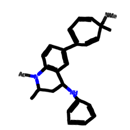 CNC1(C)C=CC=C(c2ccc3c(c2)C(Nc2ccccc2)CC(C)N3C(C)=O)C=C1